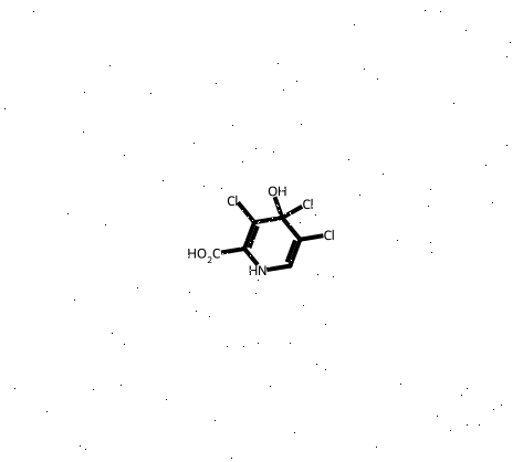 O=C(O)C1=C(Cl)C(O)(Cl)C(Cl)=CN1